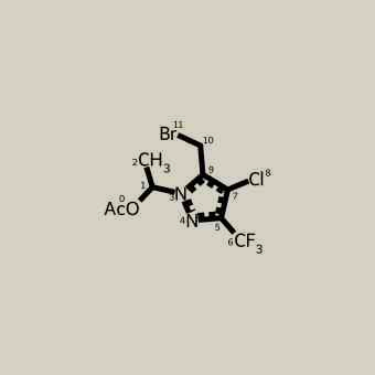 CC(=O)OC(C)n1nc(C(F)(F)F)c(Cl)c1CBr